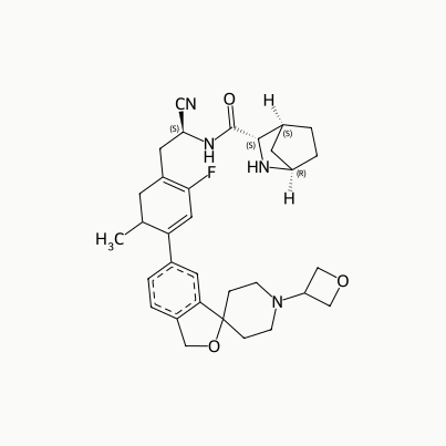 CC1CC(C[C@@H](C#N)NC(=O)[C@H]2N[C@@H]3CC[C@H]2C3)=C(F)C=C1c1ccc2c(c1)C1(CCN(C3COC3)CC1)OC2